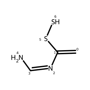 C=C(/N=C\N)SS